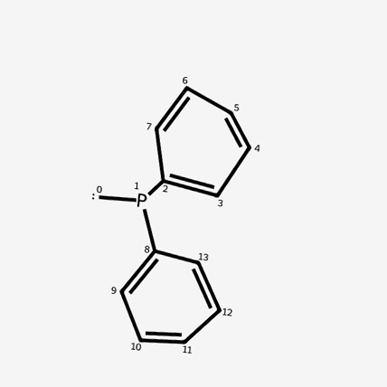 [CH]P(c1ccccc1)c1ccccc1